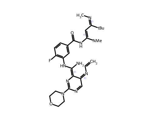 C=C/N=C1/C=NC(N2CCOCC2)=N/C1=C(/N)Nc1cc(C(=O)N/C(=C/C(=N\C)C(C)(C)C)NC)ccc1F